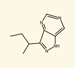 CCC(C)c1n[nH]c2cncnc12